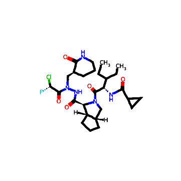 CCC(CC)[C@H](NC(=O)C1CC1)C(=O)N1C[C@@H]2CCC[C@@H]2[C@H]1C(=O)NN(C[C@@H]1CCCNC1=O)C(=O)[C@H](F)Cl